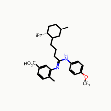 Cc1ccc(C(=O)O)cc1/N=C(\CCCC1C[C@H](C)CC[C@H]1C(C)C)Nc1ccc(OC(F)(F)F)cc1